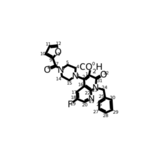 O=C(O)c1c(N2CCN(C(=O)c3ccco3)CC2)c2cc(F)cnc2n(Cc2ccccc2)c1=O